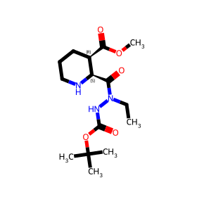 CCN(NC(=O)OC(C)(C)C)C(=O)[C@H]1NCCC[C@H]1C(=O)OC